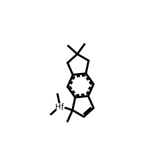 [CH3][Hf]([CH3])[C]1(C)C=Cc2cc3c(cc21)CC(C)(C)C3